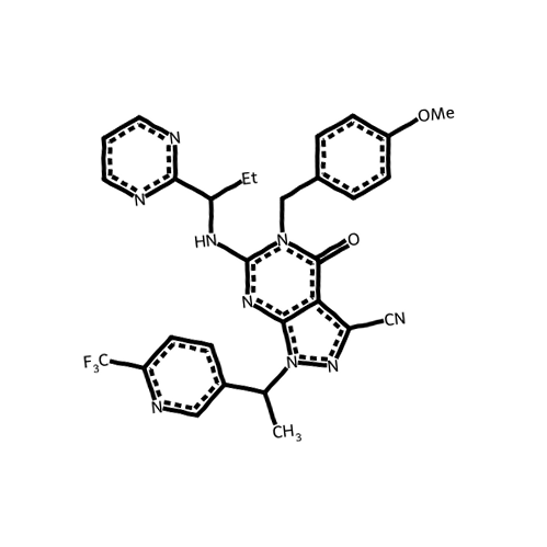 CCC(Nc1nc2c(c(C#N)nn2C(C)c2ccc(C(F)(F)F)nc2)c(=O)n1Cc1ccc(OC)cc1)c1ncccn1